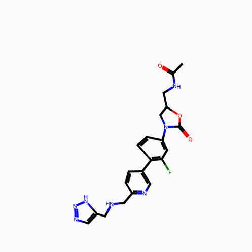 CC(=O)NCC1CN(c2ccc(-c3ccc(CNCc4cnn[nH]4)nc3)c(F)c2)C(=O)O1